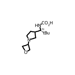 CC(C)(C)[C@@H](NC(=O)O)C1CCN(C2COC2)C1